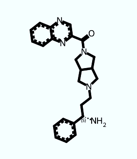 N[C@@H](CCN1CC2CN(C(=O)c3cnc4ccccc4n3)CC2C1)c1ccccc1